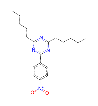 CCCCCc1nc(CCCCC)nc(-c2ccc([N+](=O)[O-])cc2)n1